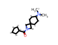 CN(C)C1CCC2(CC1)CN(C(=O)C1CCCC1)C2